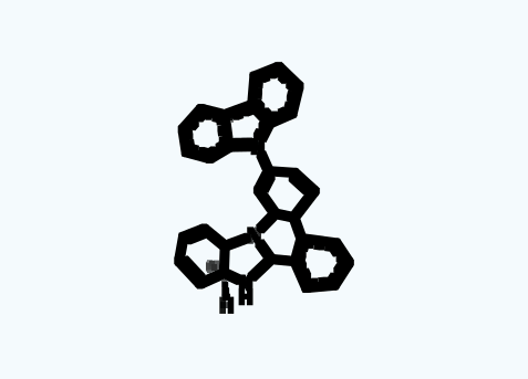 C1=CC2[C@H](C=C1)NC1c3ccccc3C3C=CC(n4c5ccccc5c5ccccc54)=CC3N12